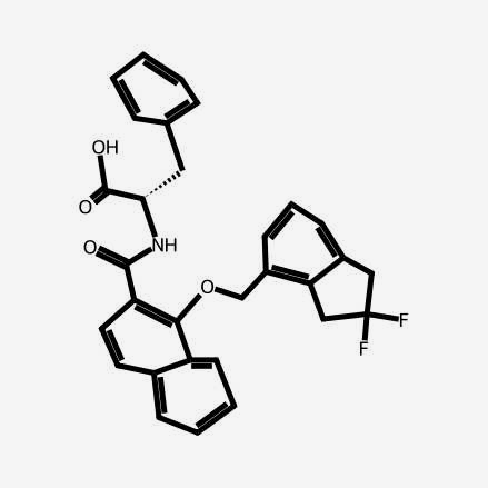 O=C(N[C@@H](Cc1ccccc1)C(=O)O)c1ccc2ccccc2c1OCc1cccc2c1CC(F)(F)C2